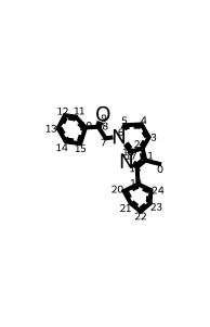 Cc1c2cccn(CC(=O)c3ccccc3)c-2nc1-c1ccccc1